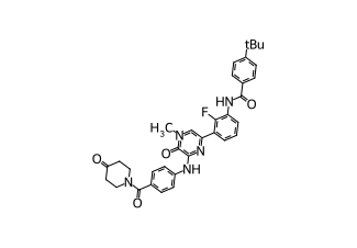 Cn1cc(-c2cccc(NC(=O)c3ccc(C(C)(C)C)cc3)c2F)nc(Nc2ccc(C(=O)N3CCC(=O)CC3)cc2)c1=O